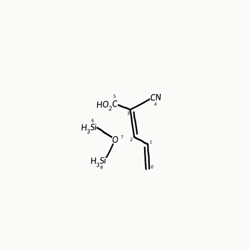 C=C/C=C(\C#N)C(=O)O.[SiH3]O[SiH3]